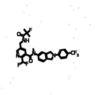 CN(C(=O)c1cc(CNC(=O)C(C)(C)F)cnc1C(F)F)c1ccc2c(c1)CN(c1ccc(C(F)(F)F)cc1)C2